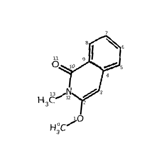 COc1cc2ccccc2c(=O)n1C